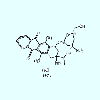 CC(O)C1(N)Cc2c(O)c3c(c(O)c2C(O[C@H]2C[C@H](N)C[C@@H](CO)O2)C1)C(=O)c1ccccc1C3=O.Cl.Cl